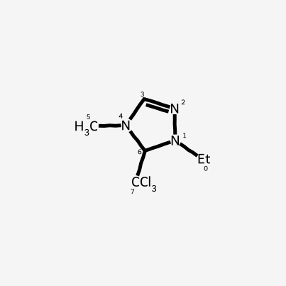 CCN1N=CN(C)C1C(Cl)(Cl)Cl